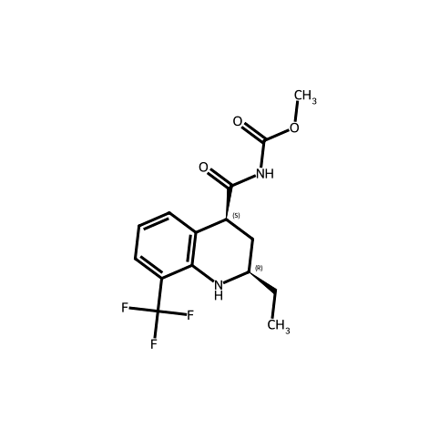 CC[C@@H]1C[C@H](C(=O)NC(=O)OC)c2cccc(C(F)(F)F)c2N1